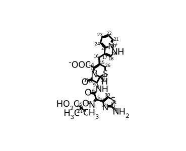 CC(C)(O/N=C(\C(=O)N[C@@H]1C(=O)N2C(C(=O)[O-])=C(Cc3c[nH][n+]4ccccc34)CS[C@H]12)c1csc(N)n1)C(=O)O